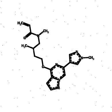 C=CC(=O)N(C)CC(C)CCOc1nc(-c2cnn(C)c2)cn2nccc12